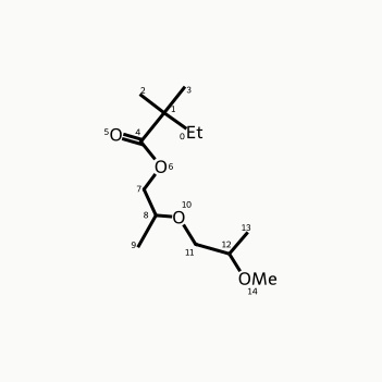 CCC(C)(C)C(=O)OCC(C)OCC(C)OC